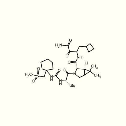 CC(C)(C)[C@H](NC(=O)NC1(CS(C)(=O)=O)CCCCC1)C(=O)N1CC2[C@@H]([C@H]1C(=O)NC(CC1CCC1)C(=O)C(N)=O)C2(C)C